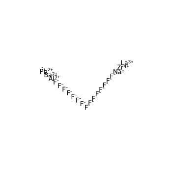 [Al+3].[Ba+2].[F-].[F-].[F-].[F-].[F-].[F-].[F-].[F-].[F-].[F-].[F-].[F-].[F-].[F-].[F-].[La+3].[Na+].[Pb+2].[Zr+4]